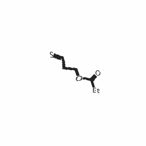 CCC(=O)OCCC=S